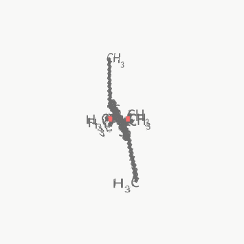 CCCCCCCCCCCCCCCCCCCCc1ccc2c(c1)sc1c3c(sc12)-c1cc2c(cc1C3(CCCC)CCCC)-c1sc3c(sc4cc(CCCCCCCCCCCCCCCCCCCC)ccc43)c1C2(CCCC)CCCC